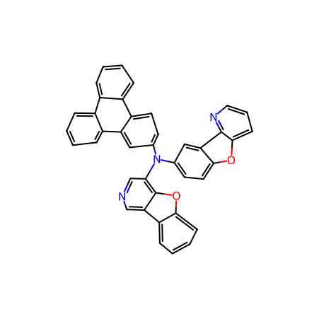 c1ccc2c(c1)oc1c(N(c3ccc4c5ccccc5c5ccccc5c4c3)c3ccc4oc5cccnc5c4c3)cncc12